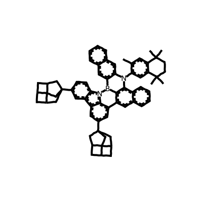 Cc1cc2c(cc1N1c3cc4ccccc4cc3B3c4c(cc5ccccc5c41)-c1cc(C45CC6CC7CC(C4)C76C5)cc4c5cc(C67CC8CC9CC(C6)C98C7)ccc5n3c14)C(C)(C)CCC2(C)C